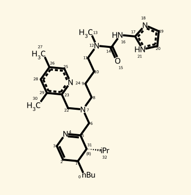 CCCCC1C=CN=C(CN(CCCCN(C)C(=O)Nc2ncc[nH]2)Cc2ncc(C)cc2C)[C@@H]1C(C)C